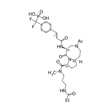 CCC(=O)NCCCN(C)C(=O)[C@@H]1CC[C@@H]2CCN(C(C)=O)C[C@H](NC(=O)/C=C/c3ccc(C(F)(F)P(=O)(O)O)cc3)C(=O)N21